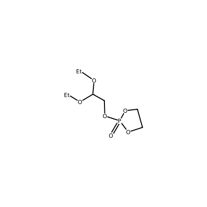 CCO[C](COP1(=O)OCCO1)OCC